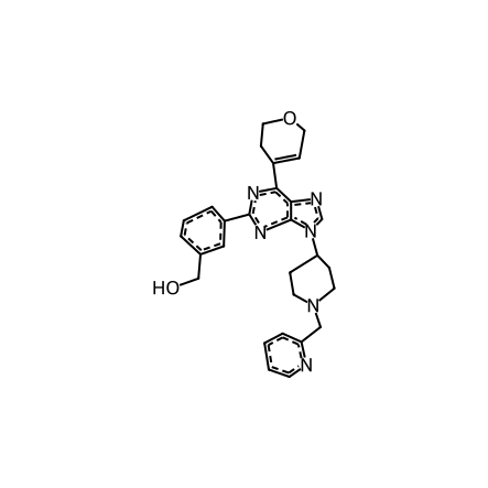 OCc1cccc(-c2nc(C3=CCOCC3)c3ncn(C4CCN(Cc5ccccn5)CC4)c3n2)c1